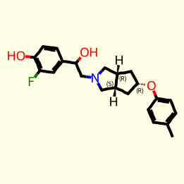 Cc1ccc(O[C@@H]2C[C@@H]3CN(CC(O)c4ccc(O)c(F)c4)C[C@@H]3C2)cc1